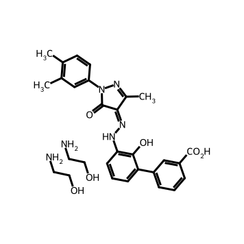 CC1=NN(c2ccc(C)c(C)c2)C(=O)C1=NNc1cccc(-c2cccc(C(=O)O)c2)c1O.NCCO.NCCO